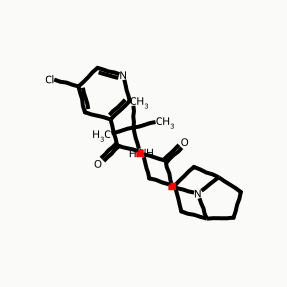 CC(C)(C)NC(=O)CN1C2CCC1CC(CNC(=O)c1cncc(Cl)c1)C2